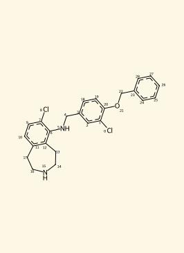 Clc1cc(CNc2c(Cl)ccc3c2CCNCC3)ccc1OCc1ccccc1